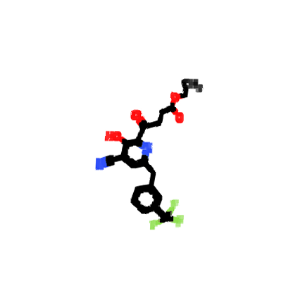 CCOC(=O)CCC(=O)c1nc(Cc2cccc(C(F)(F)F)c2)cc(C#N)c1O